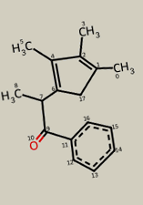 CC1=C(C)C(C)=C(C(C)C(=O)c2ccccc2)C1